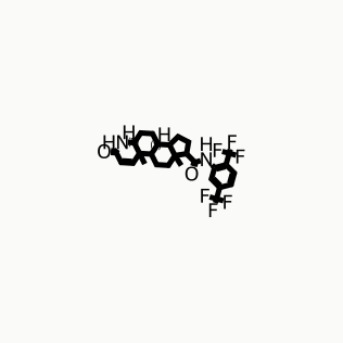 CC12CCC3[C@@H](CC[C@H]4NC(=O)C=CC34C)C1CCC2C(=O)Nc1cc(C(F)(F)F)ccc1C(F)(F)F